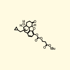 CC(C)(C)OC(=O)CCOC(=O)Oc1ccc2c3c1O[C@@H]1C(=O)CC[C@]4(O)[C@H](C2)N(CC2CC2)CC[C@@]314